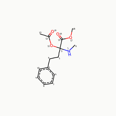 CNC(CCc1ccccc1)(OC(C)=O)C(=O)OC